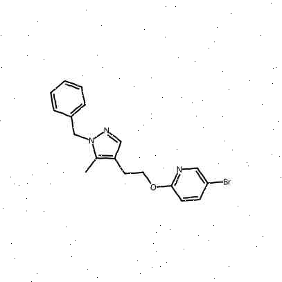 Cc1c(CCOc2ccc(Br)cn2)cnn1Cc1ccccc1